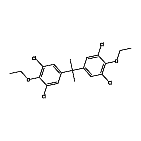 CCOc1c(Cl)cc(C(C)(C)c2cc(Cl)c(OCC)c(Cl)c2)cc1Cl